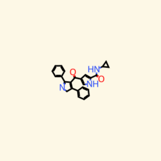 O=C(C1=C(c2ccccc2)CN=C1c1ccccc1)c1c[nH]c(C(=O)NC2CC2)c1